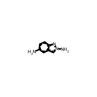 Nc1ccc2nn(N)cc2c1